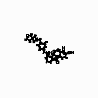 Cc1cc(CNc2cccc3c2C(=O)N(C2CCC(O)NC2=O)C3=O)ccc1CN1CC2(CCOC2)C1